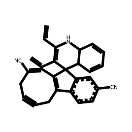 C=CC1=C(C=C)C2(C3=C(CC#CC/C(C#N)=C\3)c3ccc(C#N)cc32)C2C=CC=CC2N1